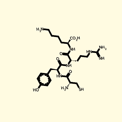 N=C(N)NCCC[C@H](NC(=O)[C@H](Cc1ccc(O)cc1)NC(=O)[C@@H](N)CS)C(=O)N[C@@H](CCCCN)C(=O)O